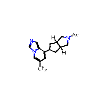 CC(=O)N1C[C@H]2CC(c3cc(C(F)(F)F)cn4cncc34)C[C@H]2C1